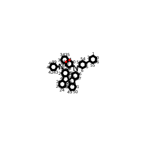 c1ccc(-c2ccc(N(c3ccccc3)c3ccc4c(c3)C3(c5ccccc5-c5cc(N(c6ccccc6)c6ccccc6)ccc53)c3ccccc3-4)cc2)cc1